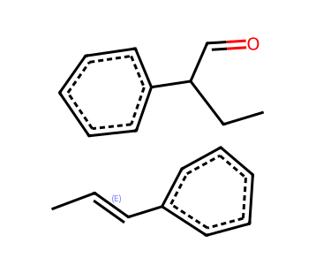 C/C=C/c1ccccc1.CCC(C=O)c1ccccc1